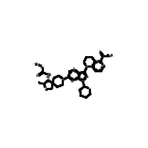 CNC(=O)c1nccc2c1CCCN2c1nn(C2CCCCO2)c2nc(N3CCC4(CC3)CO[C@@H](C)[C@H]4NC(=O)OC(C)(C)C)cnc12